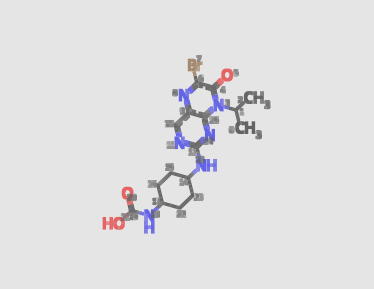 CC(C)n1c(=O)c(Br)nc2cnc(NC3CCC(NC(=O)O)CC3)nc21